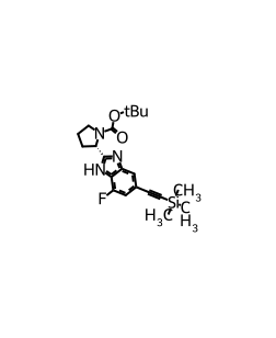 CC(C)(C)OC(=O)N1CCC[C@H]1c1nc2cc(C#C[Si](C)(C)C)cc(F)c2[nH]1